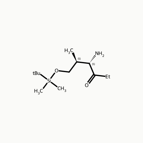 CCC(=O)[C@@H](N)[C@H](C)CO[Si](C)(C)C(C)(C)C